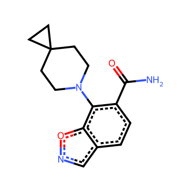 NC(=O)c1ccc2cnoc2c1N1CCC2(CC1)CC2